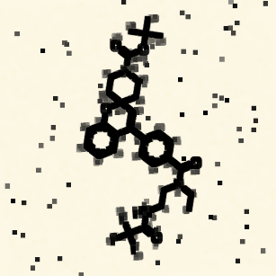 CCN(CCNC(=O)C(F)(F)F)C(=O)c1ccc(C2=CC3(CCN(C(=O)OC(C)(C)C)CC3)Oc3ccccc32)cc1